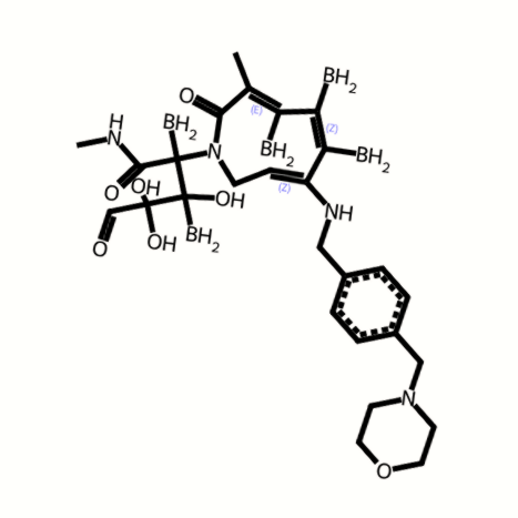 BC1=C(B)/C(B)=C(\C)C(=O)N(C(B)(C(=O)NC)C(B)(O)C(O)(O)C=O)C\C=C\1NCc1ccc(CN2CCOCC2)cc1